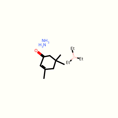 CC1=CC(=O)CC(C)(C)C1.CCB(CC)CC.N.N